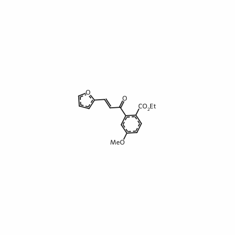 CCOC(=O)c1ccc(OC)cc1C(=O)C=Cc1ccco1